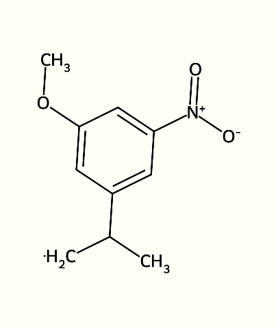 [CH2]C(C)c1cc(OC)cc([N+](=O)[O-])c1